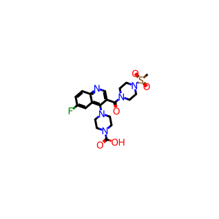 CS(=O)(=O)N1CCN(C(=O)c2cnc3ccc(F)cc3c2N2CCN(C(=O)O)CC2)CC1